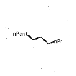 [CH2]CCC#CCC#CCC#CCC#CCCCCC